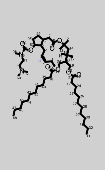 CC/C=C\CC1C(CC(=O)OC(C)(C)CC(C)(C)C(COC(=O)CCCCCCCCCCC)COC(=O)CCCCCCCCCCC)CCC1OC(=O)N(C)CCN(C)C